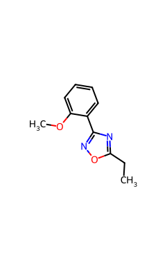 CCc1nc(-c2ccccc2OC)no1